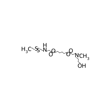 CCCSSCCNCCC(=O)OCCCCCCOC(=O)CCN(CC)CCCCO